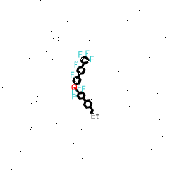 CC/C=C/C1CCC(c2cc(F)c(C(F)(F)Oc3ccc(-c4ccc(-c5cc(F)c(F)c(F)c5)c(F)c4)c(F)c3)c(F)c2)CC1